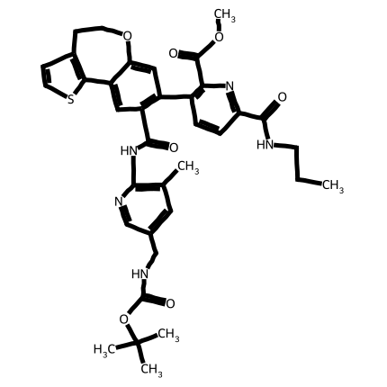 CCCNC(=O)c1ccc(-c2cc3c(cc2C(=O)Nc2ncc(CNC(=O)OC(C)(C)C)cc2C)-c2sccc2CCO3)c(C(=O)OC)n1